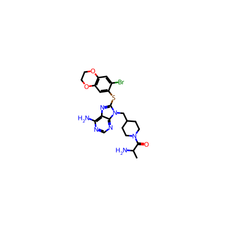 CC(N)C(=O)N1CCC(Cn2c(Sc3cc4c(cc3Br)OCCO4)nc3c(N)ncnc32)CC1